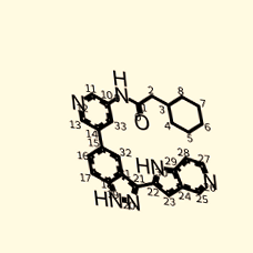 O=C(CC1CCCCC1)Nc1cncc(-c2ccc3[nH]nc(-c4cc5cnccc5[nH]4)c3c2)c1